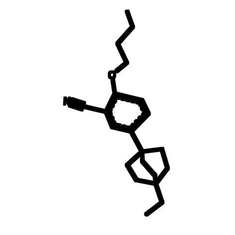 CCCCOc1ccc(C23CCC(CC)(CC2)CC3)cc1C#N